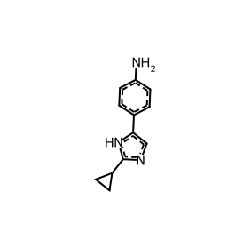 Nc1ccc(-c2cnc(C3CC3)[nH]2)cc1